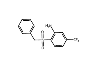 Nc1cc(C(F)(F)F)ccc1S(=O)(=O)Cc1ccccc1